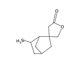 O=C1CC2(CO1)CC1CC([SiH3])C2C1